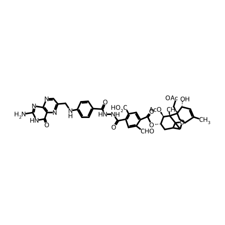 CC(=O)OC[C@]1([C@@]2(C)[C@H](OC(C)=O)[C@@H](OC(=O)c3cc(C(=O)O)c(C(=O)NNC(=O)c4ccc(NCc5cnc6nc(N)[nH]c(=O)c6n5)cc4)cc3C=O)CC3C4OC342)CCC(C)=C[C@H]1O